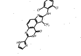 Cn1c(Nc2c(Cl)cccc2Cl)nc2ccc3nc(-c4ncc[nH]4)[nH]c(=O)c3c21